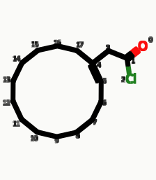 O=C(Cl)C/C1=C/CCCCCCCCCCCC1